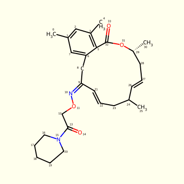 Cc1cc(C)c2c(c1)CC(=N/OCC(=O)N1CCCCC1)/C=C/CC(C)/C=C/C[C@@H](C)OC2=O